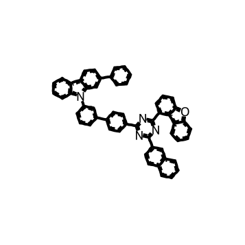 c1ccc(-c2ccc3c4ccccc4n(-c4cccc(-c5ccc(-c6nc(-c7ccc8ccccc8c7)nc(-c7cccc8oc9ccccc9c78)n6)cc5)c4)c3c2)cc1